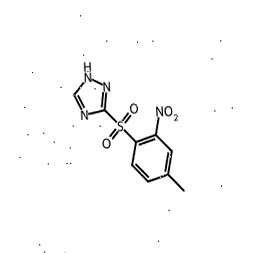 Cc1ccc(S(=O)(=O)c2nc[nH]n2)c([N+](=O)[O-])c1